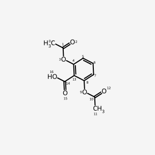 CC(=O)Oc1cccc(OC(C)=O)c1C(=O)O